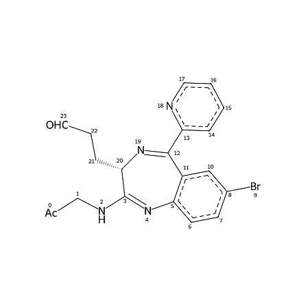 CC(=O)CNC1=Nc2ccc(Br)cc2C(c2ccccn2)=N[C@H]1CCC=O